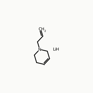 C=CCN1CC=[C]CC1.[LiH]